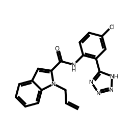 C=CCn1c(C(=O)Nc2ccc(Cl)cc2-c2nnn[nH]2)cc2ccccc21